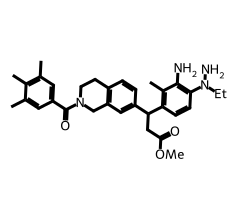 CCN(N)c1ccc(C(CC(=O)OC)c2ccc3c(c2)CN(C(=O)c2cc(C)c(C)c(C)c2)CC3)c(C)c1N